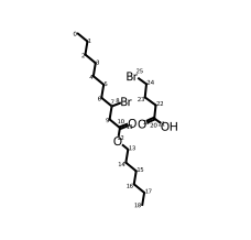 CCCCCCCC(Br)CC(=O)OCCCCCC.O=C(O)CCCBr